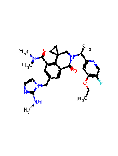 CCOc1cc(C(C)N2CC3(CC3)c3c(C(=O)N(C)C)cc(Cn4ccnc4NC)cc3C2=O)ncc1F